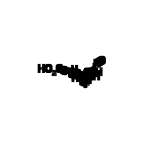 C=C(C)[C@@H]1CC[C@]2(NC(=O)NCCCN3CCOCC3)CC[C@]3(C)[C@H](CC[C@@H]4[C@@]5(C)CC=C(c6ccc(C(=O)O)cc6)C(C)(C)[C@@H]5CC[C@]43C)[C@@H]12